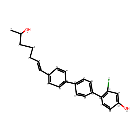 CC(O)CCC/C=C/c1ccc(-c2ccc(-c3ccc(O)cc3F)cc2)cc1